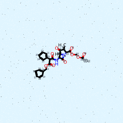 CC1C(=O)[C@@H]2C(NC(=O)C(C(=O)OCc3ccccc3)c3ccccc3)C(=O)N2C1C(=O)OCOC(=O)C(C)(C)C